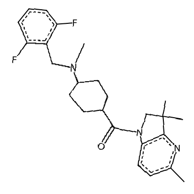 Cc1ccc2c(n1)C(C)(C)CN2C(=O)C1CCC(N(C)Cc2c(F)cccc2F)CC1